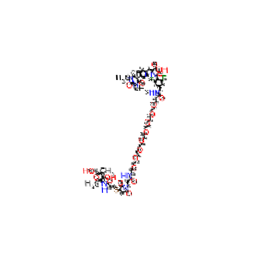 Cc1c(-c2ccc(CC(NC(=O)c3c(F)cc(CNC(=O)CCOCCOCCOCCOCCOCCOCCOCCOCCNC(=O)CCN4C(=O)CC(SCCC(=O)N[C@@H]5[C@@H](O)[C@H](C)[C@@H](CO)O[C@H]5C)C4=O)cc3F)C(=O)O)cc2)c(=O)n(C)c(=O)n1C